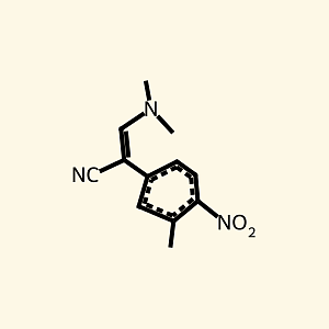 Cc1cc(/C(C#N)=C\N(C)C)ccc1[N+](=O)[O-]